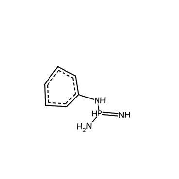 N=[PH](N)Nc1ccccc1